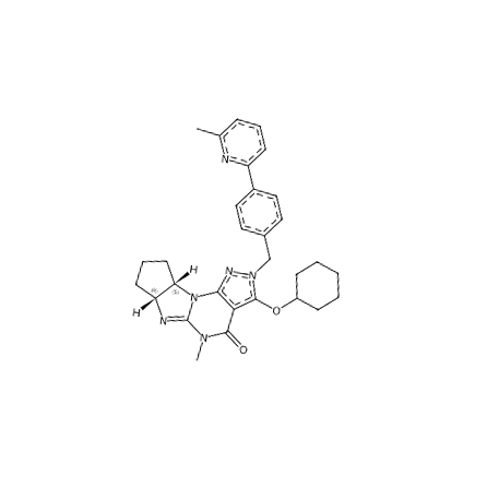 Cc1cccc(-c2ccc(Cn3nc4c(c3OC3CCCCC3)C(=O)N(C)C3=N[C@@H]5CCC[C@@H]5N34)cc2)n1